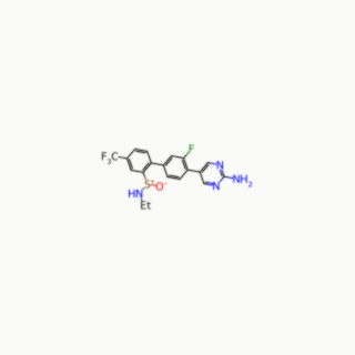 CCN[S+]([O-])c1cc(C(F)(F)F)ccc1-c1ccc(-c2cnc(N)nc2)c(F)c1